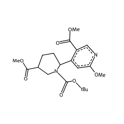 COC(=O)c1cnc(OC)cc1C1CCC(C(=O)OC)CN1C(=O)OC(C)(C)C